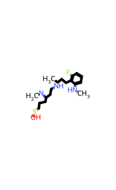 C=NC(CCCSO)CCNC(C)CCc1c(F)cccc1NC